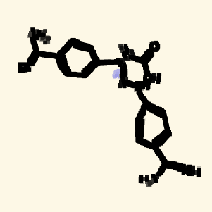 CC(=O)O.N=C(N)c1ccc(/N=N/Nc2ccc(C(=N)N)cc2)cc1